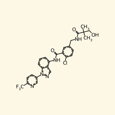 CC(C)(CO)C(=O)NCc1ccc(Cl)c(C(=O)Nc2cccc3c2cnn3-c2ccc(C(F)(F)F)nc2)c1